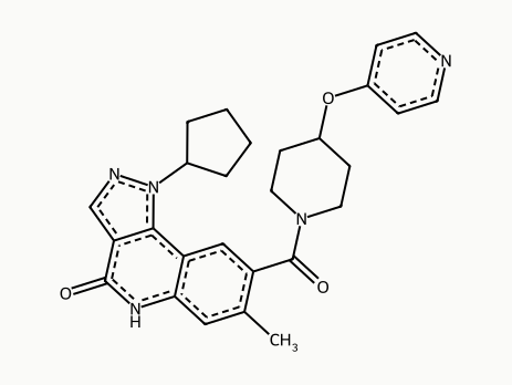 Cc1cc2[nH]c(=O)c3cnn(C4CCCC4)c3c2cc1C(=O)N1CCC(Oc2ccncc2)CC1